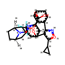 O=C(O)c1cccc(N2[C@@H]3CC[C@H]2C[C@H](OCc2c(-c4ccccc4OC(F)(F)F)noc2C2CC2)C3)n1